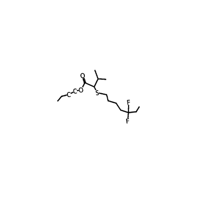 CCCCOC(=O)C(SCCCCC(F)(F)CC)C(C)C